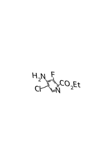 CCOC(=O)c1ncc(Cl)c(N)c1F